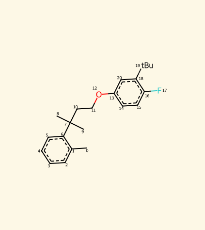 Cc1ccccc1C(C)(C)CCOc1ccc(F)c(C(C)(C)C)c1